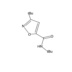 CC(C)(C)NC(=O)c1cc(C(C)(C)C)no1